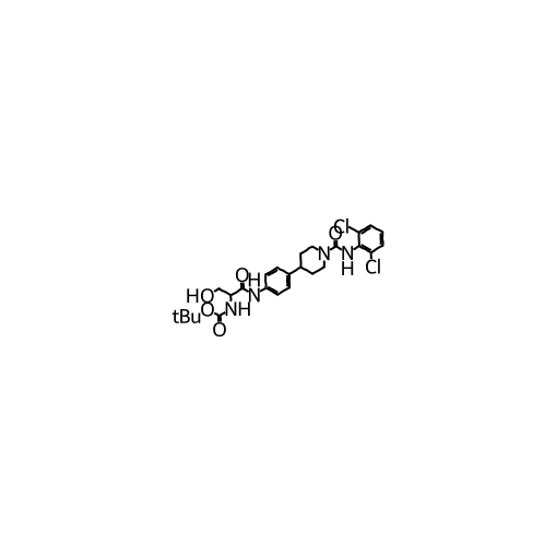 CC(C)(C)OC(=O)NC(CO)C(=O)Nc1ccc(C2CCN(C(=O)Nc3c(Cl)cccc3Cl)CC2)cc1